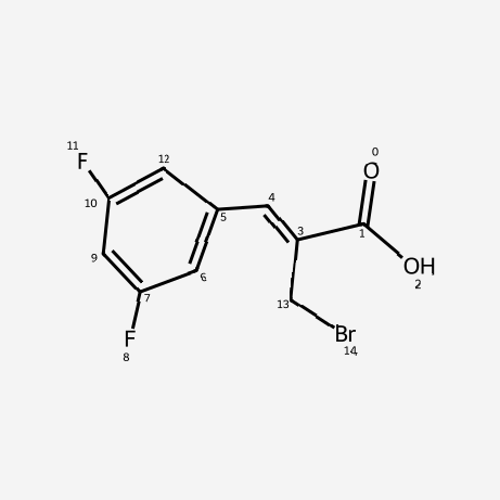 O=C(O)C(=Cc1cc(F)cc(F)c1)CBr